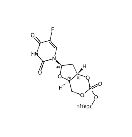 CCCCCCCOP1(=O)OC[C@H]2O[C@@H](n3cc(F)c(=O)[nH]c3=O)C[C@@H]2O1